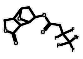 O=C(CC(F)(F)C(F)(F)Br)OC1CC2OC1C1C(=O)OCC21